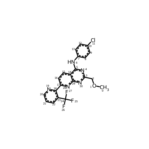 COCc1nc(Nc2ccc(Cl)cc2)c2ccc(-c3ncccc3C(F)(F)F)nc2n1